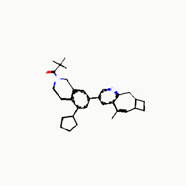 CC1=CC2CC[C@@H]2Cc2ncc(-c3cc4c(c(C5CCCC5)c3)CCN(C(=O)C(C)(C)C)C4)cc21